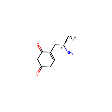 N[C@@H](CC1=CCC(=O)CC1=O)C(=O)O